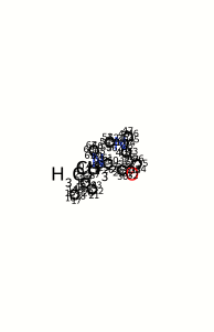 CC1(C)c2cc3c(cc2-c2c1cc(-c1ccccc1)c1ccccc21)c1cc(-c2ccc4oc5cccc(-c6ccc7c(c6)c6ccccc6n7-c6ccccc6)c5c4c2)ccc1n3-c1ccccc1